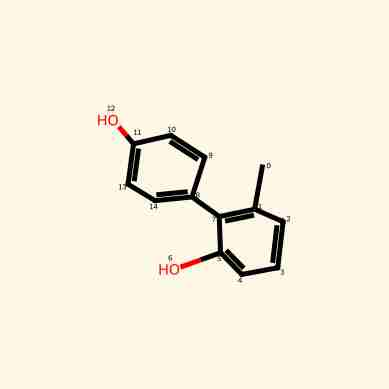 Cc1[c]ccc(O)c1-c1ccc(O)cc1